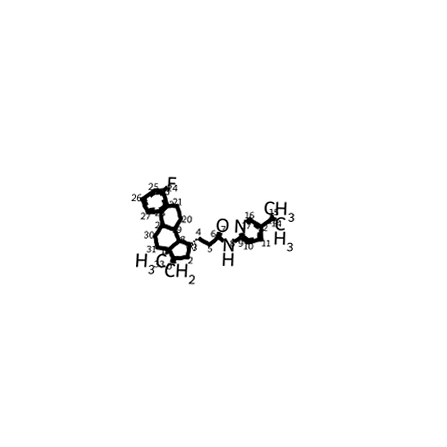 C=C1C[C@@H](CCC(=O)Nc2ccc(C(C)C)cn2)C2C3CCc4c(F)cccc4C3CC[C@]12C